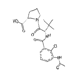 CC(=O)Nc1cccc(C(=O)N[C@H](C(=O)N2CCC[C@H]2C(=O)O)C(C)(C)C)c1Cl